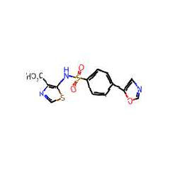 O=C(O)c1ncsc1NS(=O)(=O)c1ccc(-c2cnco2)cc1